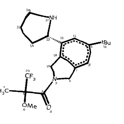 COC(C)(C(=O)N1Cc2cc(C(C)(C)C)cc([C@@H]3CCCN3)c2C1)C(F)(F)F